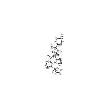 COc1ncnc(OC)c1-n1c(NS(=O)(=O)C(C)C(OC)c2ncc(Cl)cn2)nnc1C1CC=CC1